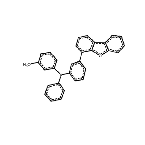 Cc1cccc(N(c2ccccc2)c2cccc(-c3cccc4c3oc3ccccc34)c2)c1